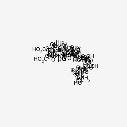 CC[C@H](C)[C@H](NC(=O)[C@@H]1CCCN1C(=O)[C@@H](NC(=O)CNC(=O)[C@H](CCC(=O)O)NC(=O)[C@H](CCC(=O)O)NC(=O)[C@H](CO)NC(=O)[C@H](CC(C)C)NC(=O)[C@@H](NC(=O)[C@H](CO)NC(=O)CNC(=O)[C@@H](NC(=O)[C@H](C)NC(=O)[C@H](C)NC(=O)[C@H](CO)NC(=O)[C@@H](NC(=O)[C@H](CO)NC(=O)[C@H](CO)NC(=O)CNC(=O)[C@@H](NC(=O)[C@H](C)NC(=O)[C@@H](N)[C@@H](C)O)C(C)C)[C@@H](C)O)C(C)C)[C@@H](C)CC)C(C)C)C(=O)O